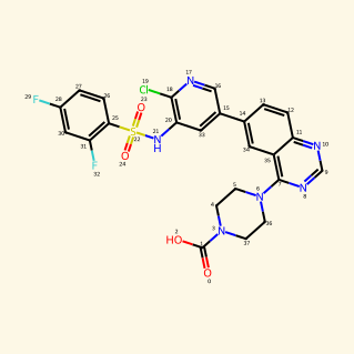 O=C(O)N1CCN(c2ncnc3ccc(-c4cnc(Cl)c(NS(=O)(=O)c5ccc(F)cc5F)c4)cc23)CC1